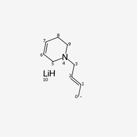 [CH2]C=CCN1CC=CCC1.[LiH]